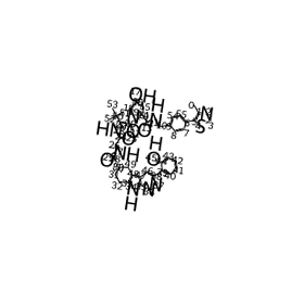 Cc1ncsc1-c1ccc(CNC(=O)[C@@H]2C[C@@H](O)CN2C(=O)[C@@H](NC(=O)CNC(=O)[C@H]2CCc3[nH]c4nnc(-c5ccccc5O)cc4c3C2)C(C)(C)C)cc1